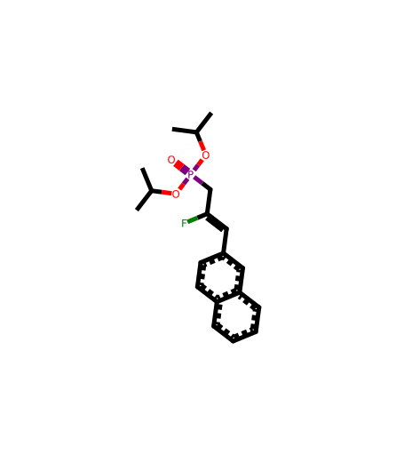 CC(C)OP(=O)(C/C(F)=C/c1ccc2ccccc2c1)OC(C)C